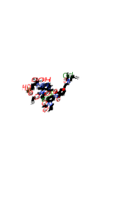 C#CCN1C(=O)COc2cc(F)c(N3C(=O)C4=C(CCCC4)C3=O)cc21.C=CCN(CC=C)C(=O)C(Cl)Cl.CCOCN(C(=O)CCl)c1c(C)cccc1CC.CP(=O)(O)CCC(N)C(=O)O